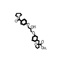 O=C(c1ccc(OC[C@@H](O)COc2cccc(CC3(C(=O)O)CCCO3)c2)cc1)N1CCCC1